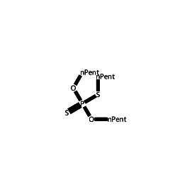 CCCCCOP(=S)(OCCCCC)SCCCCC